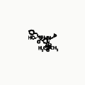 CN(c1cc(C(=O)N[C@H](CO)Cc2ccccc2)cc(NCC2CC2)n1)S(C)(=O)=O